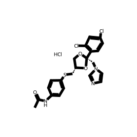 CC(=O)Nc1ccc(SC[C@@H]2CO[C@@](Cn3ccnc3)(c3ccc(Cl)cc3Cl)O2)cc1.Cl